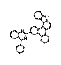 c1ccc(-c2nc(-c3ccc4c(c3)c3ccccc3c3ccc5oc6ccccc6c5c34)nc3ccccc23)cc1